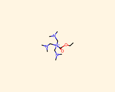 CCOC(=O)[N+](CN(C)C)(CN(C)C)CN(C)C